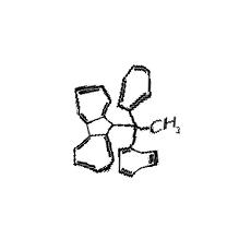 CC(c1ccccc1)(c1ccccc1)C1c2ccccc2-c2ccccc21